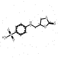 NS(=O)(=O)c1ccc(NCC2COC(=O)O2)cc1